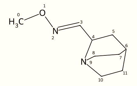 CON=CC1CC2CCN1CC2